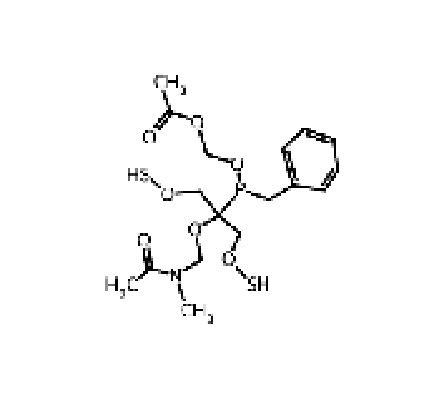 CC(=O)OCOP(Cc1ccccc1)C(COS)(COS)OCN(C)C(C)=O